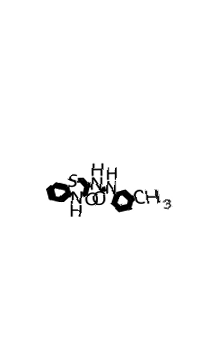 Cc1cccc(NC(=O)NC2CSc3ccccc3NC2=O)c1